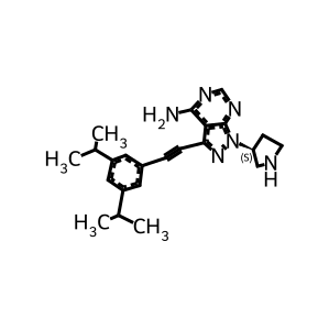 CC(C)c1cc(C#Cc2nn([C@H]3CCNC3)c3ncnc(N)c23)cc(C(C)C)c1